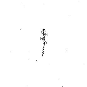 CCCCCCCCCCCOC(=O)CCNCCNC(=O)OC(C)(C)C